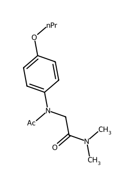 CCCOc1ccc(N(CC(=O)N(C)C)C(C)=O)cc1